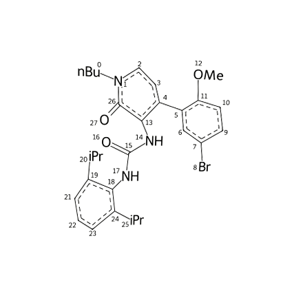 CCCCn1ccc(-c2cc(Br)ccc2OC)c(NC(=O)Nc2c(C(C)C)cccc2C(C)C)c1=O